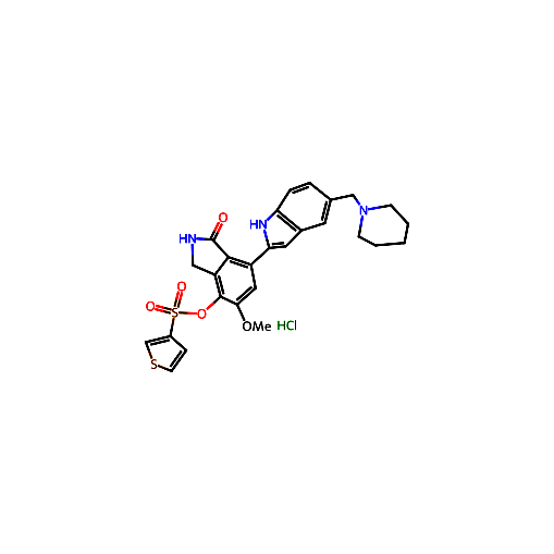 COc1cc(-c2cc3cc(CN4CCCCC4)ccc3[nH]2)c2c(c1OS(=O)(=O)c1ccsc1)CNC2=O.Cl